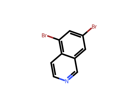 Brc1cc(Br)c2ccncc2c1